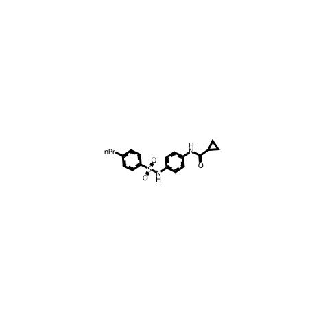 CCCc1ccc(S(=O)(=O)Nc2ccc(NC(=O)C3CC3)cc2)cc1